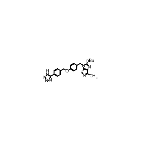 CCCCc1nc2c(C)nsc2n1Cc1ccc(OCc2ccc(-c3nnn[nH]3)cc2)cc1